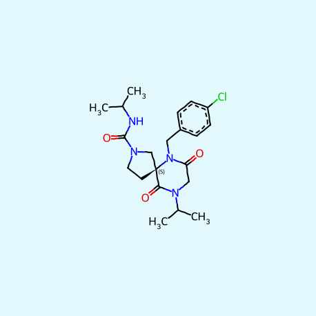 CC(C)NC(=O)N1CC[C@]2(C1)C(=O)N(C(C)C)CC(=O)N2Cc1ccc(Cl)cc1